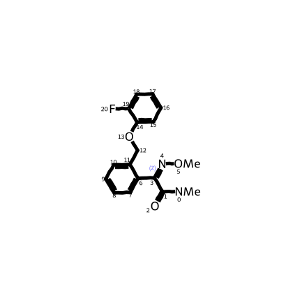 CNC(=O)/C(=N\OC)c1ccccc1COc1ccccc1F